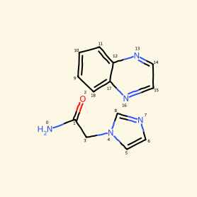 NC(=O)Cn1ccnc1.c1ccc2nccnc2c1